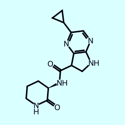 O=C(N[C@@H]1CCCNC1=O)C1CNc2ncc(C3CC3)nc21